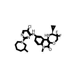 CC1CCCCN(c2ncc(Cl)c(Nc3ccc4c(c3)c3c(c(=O)n4C)OCC(F)(F)[C@H](C4CC4)N3)n2)C1